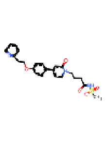 CS(=O)(=O)NC(=O)CCCn1ccc(-c2ccc(OCCc3ccccn3)cc2)cc1=O